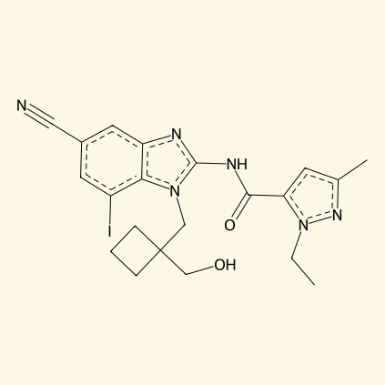 CCn1nc(C)cc1C(=O)Nc1nc2cc(C#N)cc(I)c2n1CC1(CO)CCC1